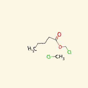 CCCCC(=O)OCCl.CCl